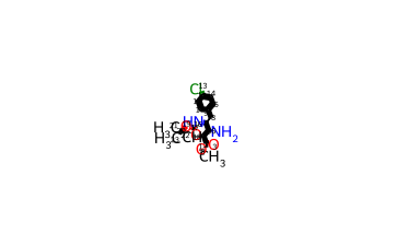 COC(=O)C[C@H](N)[C@H](Cc1ccc(Cl)cc1)NC(=O)OC(C)(C)C